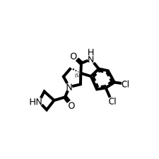 O=C(C1CNC1)N1CC[C@]2(C1)C(=O)Nc1cc(Cl)c(Cl)cc12